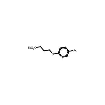 CCOC(=O)CCCOc1ccc(C(C)=O)cn1